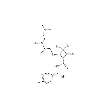 CCC[C@@H](NC(=O)N1C(=O)C(CC)(CC)C1OCC(=O)N(CC)CCN(C)C)c1ccc(C)cc1